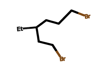 CCC(CCBr)CCCBr